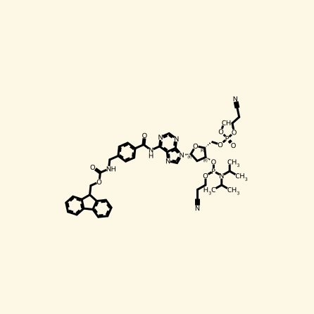 COP(=O)(OCCC#N)OC[C@H]1O[C@@H](n2cnc3c(NC(=O)c4ccc(CNC(=O)OCC5c6ccccc6-c6ccccc65)cc4)ncnc32)C[C@H]1OP(OCCC#N)N(C(C)C)C(C)C